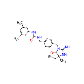 Cc1cc(C)cc(NC(=O)NCc2ccc(CN3C(=N)NC(C)(CC(C)C)C3=O)cc2)c1